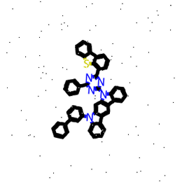 c1ccc(-c2cccc(-n3c4ccccc4c4cc5c6ccccc6n(-c6nc(-c7ccccc7)nc(-c7cccc8c7sc7ccccc78)n6)c5cc43)c2)cc1